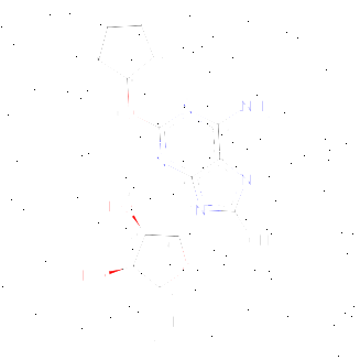 Cc1nc2c(N)nc(OC3CCCC3)nc2n1[C@@H]1O[C@H](C)[C@@H](O)[C@H]1O